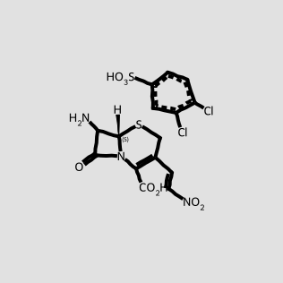 NC1C(=O)N2C(C(=O)O)=C(C=C[N+](=O)[O-])CS[C@@H]12.O=S(=O)(O)c1ccc(Cl)c(Cl)c1